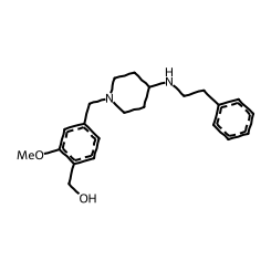 COc1cc(CN2CCC(NCCc3ccccc3)CC2)ccc1CO